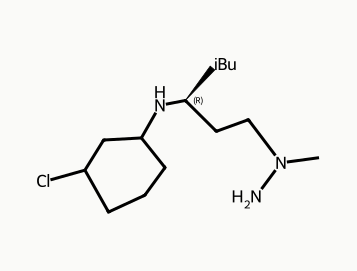 CCC(C)[C@@H](CCN(C)N)NC1CCCC(Cl)C1